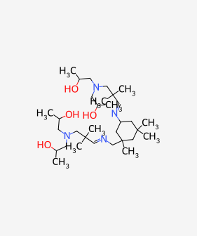 CC(O)CN(CC(C)O)CC(C)(C)C=NCC1(C)CC(N=CC(C)(C)CN(CC(C)O)CC(C)O)CC(C)(C)C1